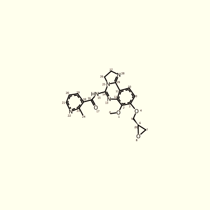 COc1c(OC[C@H]2CO2)ccc2c1N=C(NC(=O)c1cccnc1C)N1CCN=C21